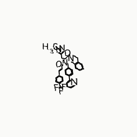 Cn1cc(CC(C(=O)N2CCc3ccccc3C2)N(Cc2ccc(-c3ccccn3)cc2)C(=O)C=Cc2ccc(C(F)(F)F)cc2)cn1